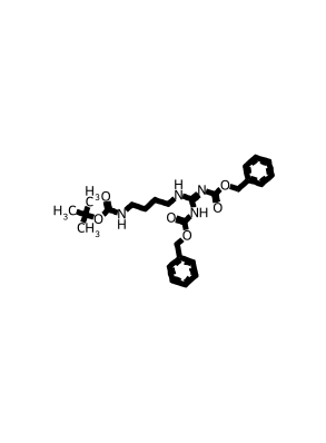 CC(C)(C)OC(=O)NCCCCNC(=NC(=O)OCc1ccccc1)NC(=O)OCc1ccccc1